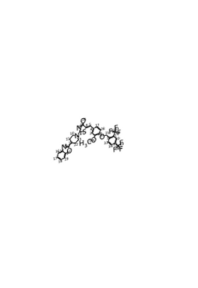 COc1cc(C=C2SC(N3CCC(c4nc5ccccc5o4)CC3)=NC2=O)ccc1OCc1ccc(C(F)(F)F)cc1C(F)(F)F